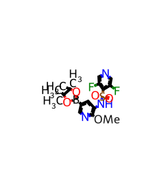 COc1ncc(B2OC(C)(C)C(C)(C)O2)cc1NS(=O)(=O)c1c(F)cncc1F